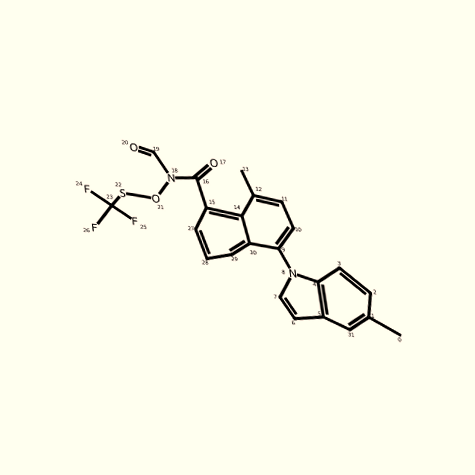 Cc1ccc2c(ccn2-c2ccc(C)c3c(C(=O)N(C=O)OSC(F)(F)F)cccc23)c1